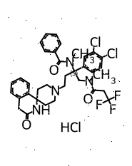 CN(C[C@](CCN1CCC2(CC1)NC(=O)Cc1ccccc12)(c1ccc(Cl)c(Cl)c1)N(C)C(=O)c1ccccc1)C(=O)CC(F)(F)F.Cl